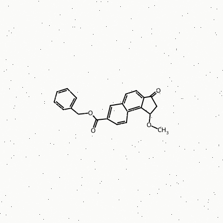 COC1CC(=O)c2ccc3cc(C(=O)OCc4ccccc4)ccc3c21